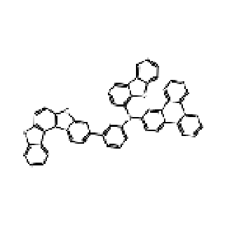 c1cc(-c2ccc3c(c2)oc2ccc4sc5ccccc5c4c23)cc(N(c2ccc3c4ccccc4c4ccccc4c3c2)c2cccc3c2sc2ccccc23)c1